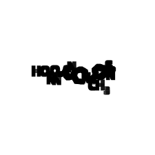 C[C@@H](c1ccc2scnc2c1)N1CCc2cc(-c3nnc(O)o3)cnc2CC1